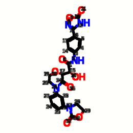 O=C(Nc1ccc(-c2noc(=O)[nH]2)cc1)[C@H](O)[C@H]1OCCN(c2cccc(N3CCOC3=O)c2)C1=O